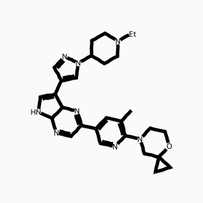 CCN1CCC(n2cc(C3=CNC4N=CC(c5cnc(N6CCOC7(CC7)C6)c(C)c5)=NC34)cn2)CC1